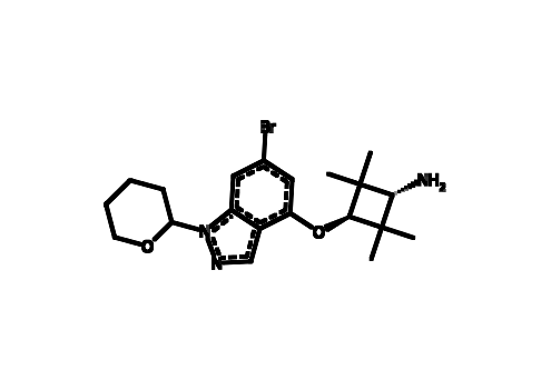 CC1(C)[C@H](N)C(C)(C)[C@H]1Oc1cc(Br)cc2c1cnn2C1CCCCO1